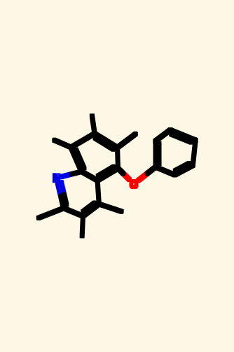 Cc1nc2c(C)c(C)c(C)c(Oc3ccccc3)c2c(C)c1C